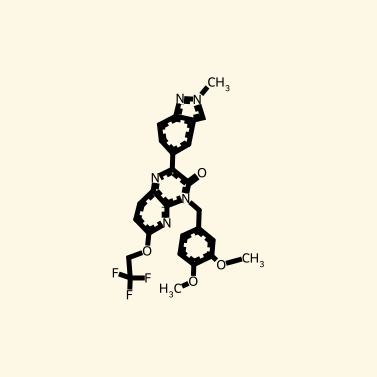 COc1ccc(Cn2c(=O)c(-c3ccc4nn(C)cc4c3)nc3ccc(OCC(F)(F)F)nc32)cc1OC